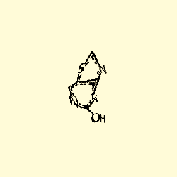 Oc1ncc2scnc2n1